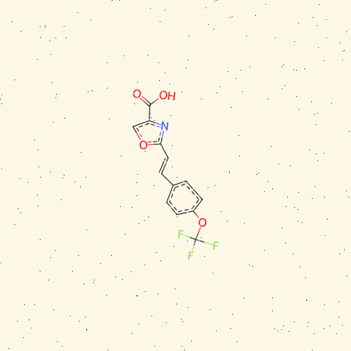 O=C(O)c1coc(C=Cc2ccc(OC(F)(F)F)cc2)n1